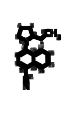 CCC1CCCN1c1ccc(C#N)c2ccccc12